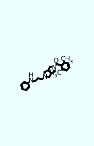 Cc1cccc(C)c1C(=O)N1CC2CN(CCCNc3ccccc3)CC2C1